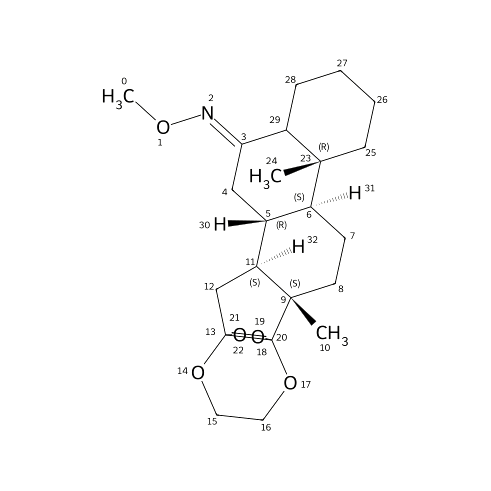 CON=C1C[C@@H]2[C@H](CC[C@@]3(C)[C@H]2CC24OCCOC23OCCO4)[C@@]2(C)CCCCC12